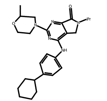 CC1CN(c2nc(Nc3ccc(C4CCCCC4)cc3)c3c(n2)C(=O)N(C(C)C)C3)CCO1